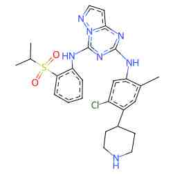 Cc1cc(C2CCNCC2)c(Cl)cc1Nc1nc(Nc2ccccc2S(=O)(=O)C(C)C)n2nccc2n1